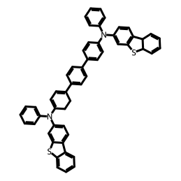 C1=CC2Sc3cc(N(c4ccccc4)c4ccc(-c5ccc(C6=CC=C(N(c7ccccc7)c7ccc8c(c7)sc7ccccc78)CC6)cc5)cc4)ccc3C2C=C1